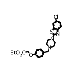 CCOC(=O)COc1ccc(CN2CCN(c3nc4ccc(Cl)cc4s3)CC2)cc1